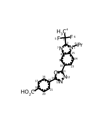 CC(C)n1c(C(C)(F)F)nc2cc(-c3nnc(-c4ccc(C(=O)O)cc4)o3)ccc21